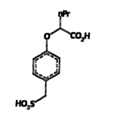 CCCC(Oc1ccc(CS(=O)(=O)O)cc1)C(=O)O